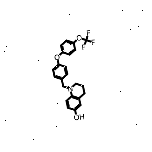 Oc1ccc2c(c1)CCCN2Cc1ccc(Oc2ccc(OC(F)(F)F)cc2)cc1